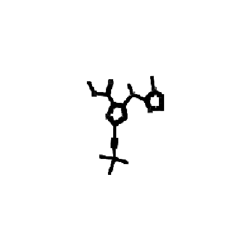 COC(=O)c1sc(C#CC(C)(C)C)cc1N(C)c1nccn1C